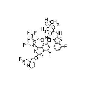 CC(C)(C)OC(=O)Nc1sc2c(F)ccc(-c3c(Cl)c4c5c(nc(OC[C@@]67CCCN6C[C@H](F)C7)nc5c3F)N(CC(F)F)[C@@H](C=C(F)F)CO4)c2c1C#N